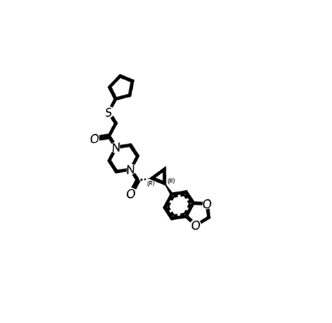 O=C(CSC1CCCC1)N1CCN(C(=O)[C@@H]2C[C@H]2c2ccc3c(c2)OCO3)CC1